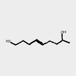 CC(O)CC/C=C/CCCO